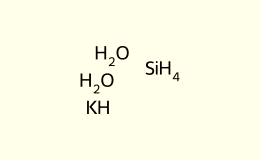 O.O.[KH].[SiH4]